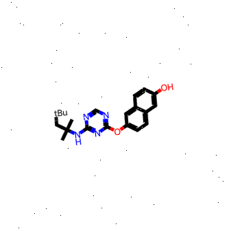 CC(C)(C)CC(C)(C)Nc1ncnc(Oc2ccc3cc(O)ccc3c2)n1